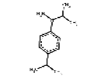 CC(C)c1ccc(N(N)C(C)C)cc1